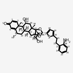 C[C@]12C=CC(=O)C=C1[C@@H](F)C[C@H]1[C@@H]3C[C@H]4O[C@@H](c5ccc(CCc6ccccc6N)s5)O[C@@]4(C(=O)CO)[C@@]3(C)C[C@H](O)[C@@]12F